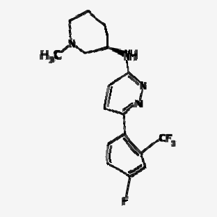 CN1CCC[C@@H](Nc2ccc(-c3ccc(F)cc3C(F)(F)F)nn2)C1